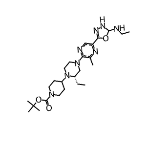 CCNC1NN=C(c2cnc(N3CCN(C4CCN(C(=O)OC(C)(C)C)CC4)[C@@H](CC)C3)c(C)n2)O1